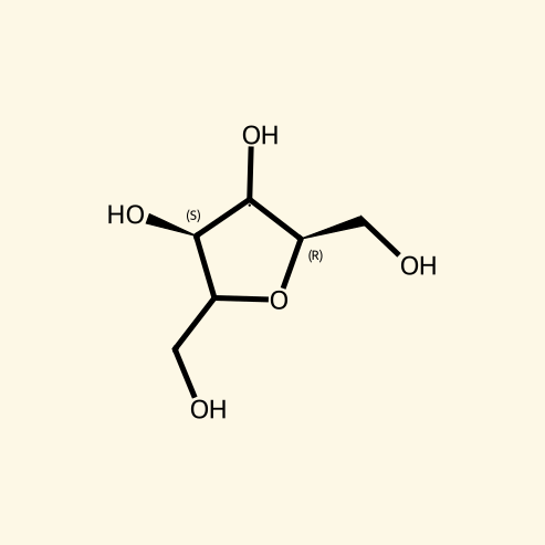 OCC1O[C@H](CO)[C](O)[C@@H]1O